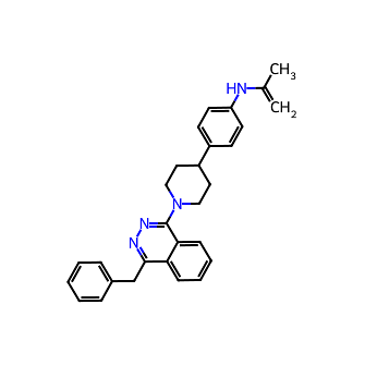 C=C(C)Nc1ccc(C2CCN(c3nnc(Cc4ccccc4)c4ccccc34)CC2)cc1